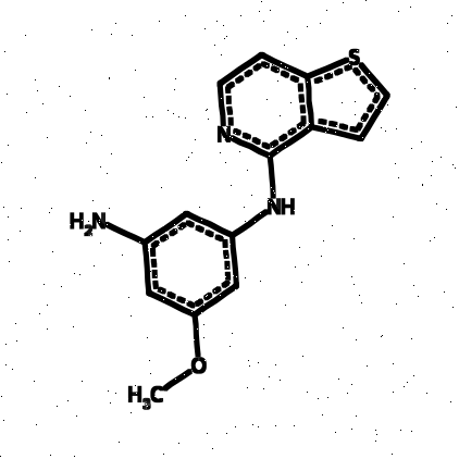 COc1cc(N)cc(Nc2nccc3sccc23)c1